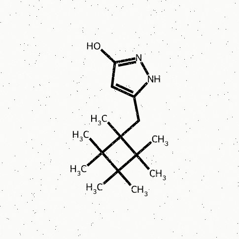 CC1(C)C(C)(C)C(C)(Cc2cc(O)n[nH]2)C1(C)C